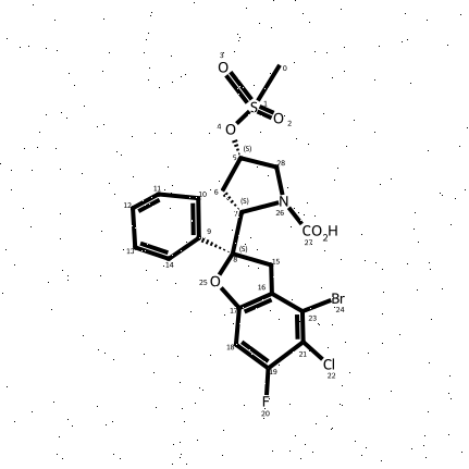 CS(=O)(=O)O[C@H]1C[C@@H]([C@@]2(c3ccccc3)Cc3c(cc(F)c(Cl)c3Br)O2)N(C(=O)O)C1